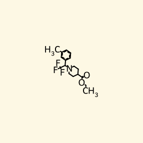 CCOC(=O)C1CCN(C(c2cccc(C)c2)C(F)(F)F)CC1